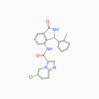 Cc1ccccc1C1NC(=O)c2cccc(NC(=O)c3cnc4ccc(Cl)cn34)c21